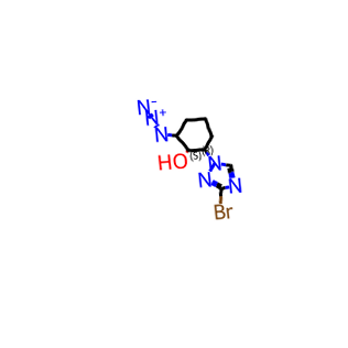 [N-]=[N+]=NC1CCC[C@@H](n2cnc(Br)n2)[C@@H]1O